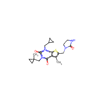 Cc1c(CN2CCNC2=O)sc2c1c(=O)n(CC1(C)CC1)c(=O)n2CC1CC1